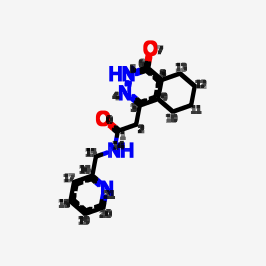 O=C(Cc1n[nH]c(=O)c2c1CCCC2)NCc1ccccn1